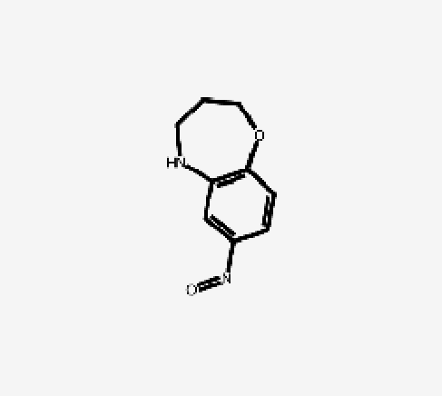 O=Nc1ccc2c(c1)NCCCO2